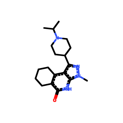 CC(C)N1CCC(c2nn(C)c3[nH]c(=O)c4c(c23)CCCC4)CC1